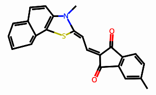 Cc1ccc2c(c1)C(=O)/C(=C/C=C1\Sc3c(ccc4ccccc34)N1C)C2=O